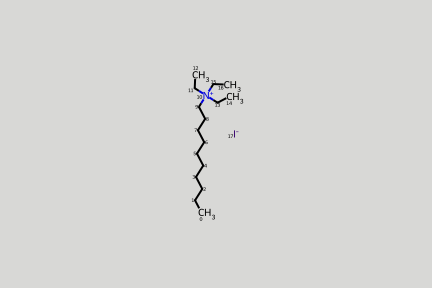 CCCCCCCCCC[N+](CC)(CC)CC.[I-]